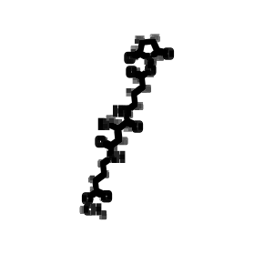 COC(=O)CCCNC(=O)/C=C(\Br)C(=O)NCCCC(=O)ON1C(=O)CCC1=O